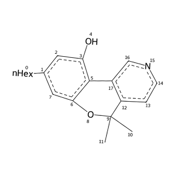 CCCCCCc1cc(O)c2c(c1)OC(C)(C)c1ccncc1-2